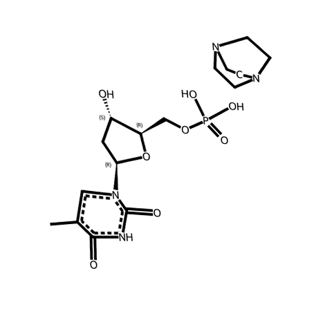 C1CN2CCN1CC2.Cc1cn([C@H]2C[C@H](O)[C@@H](COP(=O)(O)O)O2)c(=O)[nH]c1=O